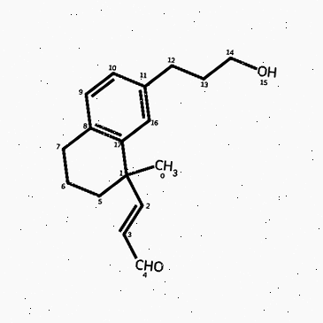 CC1(/C=C/C=O)CCCc2ccc(CCCO)cc21